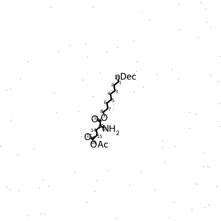 CCCCCCCCCCCCCCCCCCOC(=O)[C@@H](N)CCC(=O)OC(C)=O